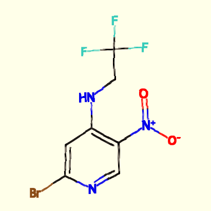 O=[N+]([O-])c1cnc(Br)cc1NCC(F)(F)F